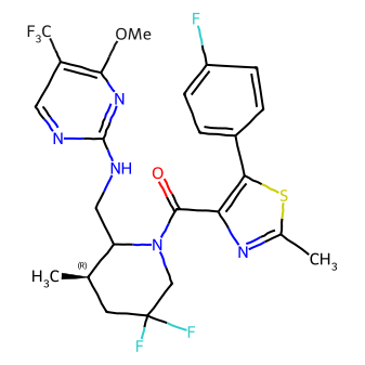 COc1nc(NCC2[C@H](C)CC(F)(F)CN2C(=O)c2nc(C)sc2-c2ccc(F)cc2)ncc1C(F)(F)F